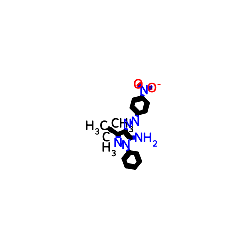 CC(C)(C)c1nn(-c2ccccc2)c(N)c1N=Nc1ccc([N+](=O)[O-])cc1